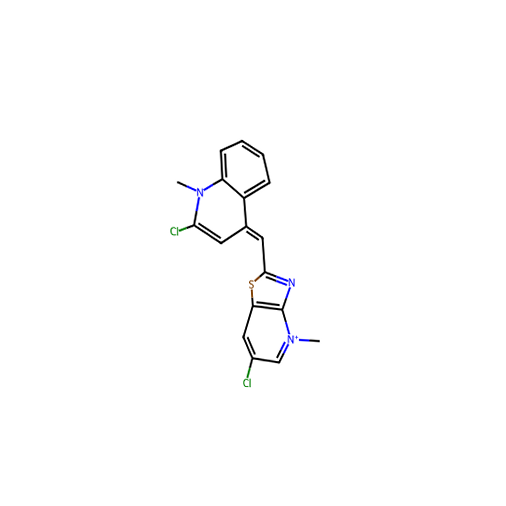 CN1C(Cl)=C/C(=C\c2nc3c(cc(Cl)c[n+]3C)s2)c2ccccc21